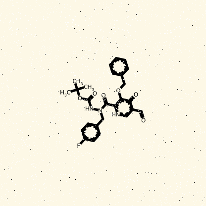 CC(C)(C)OC(=O)NN(Cc1ccc(F)cc1)C(=O)c1[nH]cc(C=O)c(=O)c1OCc1ccccc1